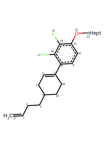 C=CCCC1CC=C(c2ccc(OCCCCCCC)c(F)c2F)CC1